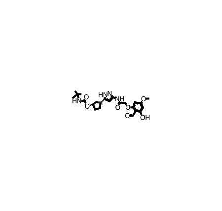 COc1cc(O)c(C=O)c(OCC(=O)Nc2cc([C@H]3CC[C@@H](OC(=O)NC(C)(C)C)C3)[nH]n2)c1